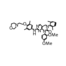 COc1ccc(N2C(=O)N(c3c(C)c#ccc3C)Cc3cnc(Nc4cc(C)c(OCCN5CCOCC5)c(C)c4)nc32)c(OC)c1